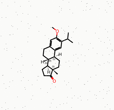 COc1cc2c(cc1C(C)C)[C@H]1CC[C@]3(C)C(=O)CC[C@H]3[C@@H]1CC2